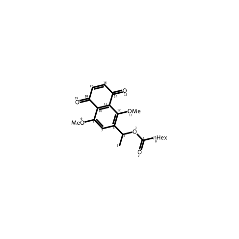 CCCCCCC(=O)OC(C)c1cc(OC)c2c(c1OC)C(=O)C=CC2=O